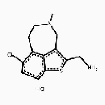 CN1CCc2c(Cl)ccc3sc(CN)c(c23)C1.Cl